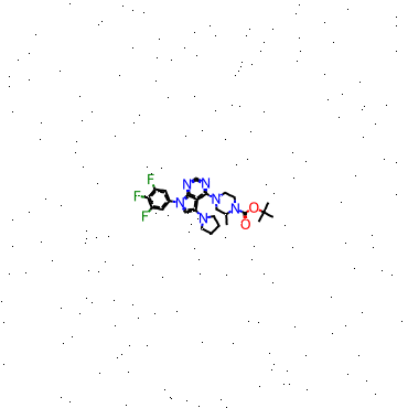 CC1CN(c2ncnc3c2c(N2CCCC2)cn3-c2cc(F)c(F)c(F)c2)CCN1C(=O)OC(C)(C)C